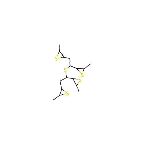 CC1SC1CC(SC(CC1SC1C)C1SC1C)C1SC1C